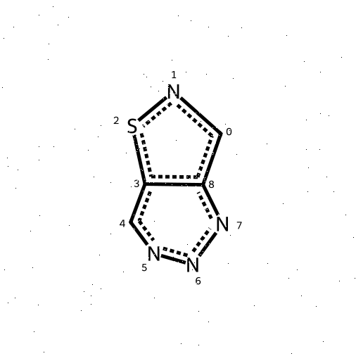 c1nsc2cnnnc12